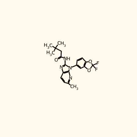 Cc1ccc2nc(NC(=O)CC(C)(C)C)n(-c3ccc4c(c3)OC(F)(F)O4)c2n1